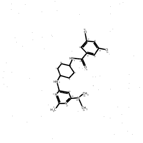 Cc1nc(NC2CCC(NC(=O)c3cc(Cl)cc(Cl)c3)CC2)cc(N(C)C)n1